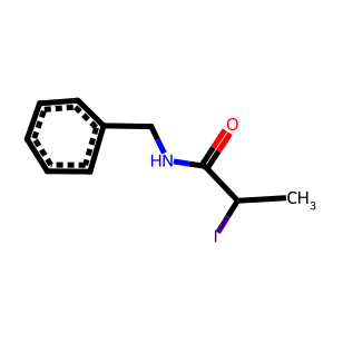 CC(I)C(=O)NCc1ccccc1